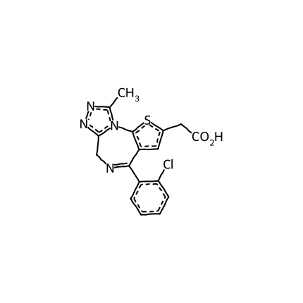 Cc1nnc2n1-c1sc(CC(=O)O)cc1C(c1ccccc1Cl)=NC2